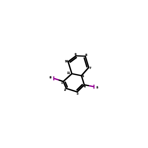 IC1=CC=C(I)C2C=CC=CC12